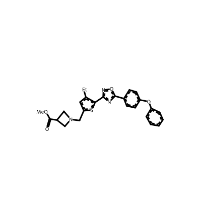 CCc1cc(CN2CC(C(=O)OC)C2)sc1-c1noc(-c2ccc(Oc3ccccc3)cc2)n1